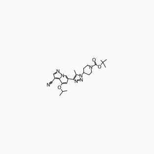 Cc1c(-c2cc(OC(C)C)c3c(C#N)cnn3c2)nnn1C1CCN(C(=O)OC(C)(C)C)CC1